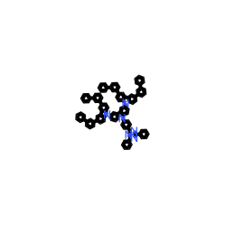 c1ccc(-c2cccc(-c3ccc4c(c3)c3cc(-c5cccc(-c6ccccc6)c5)ccc3n4-c3ccc4c(c3)c3cc(-n5c6ccc(-c7cccc(-c8ccccc8)c7)cc6c6cc(-c7cccc(-c8ccccc8)c7)ccc65)ccc3n4-c3ccc(-c4nc(-c5ccccc5)nc(-c5ccccc5)n4)cc3)c2)cc1